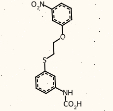 O=C(O)Nc1cccc(SCCOc2cccc([N+](=O)[O-])c2)c1